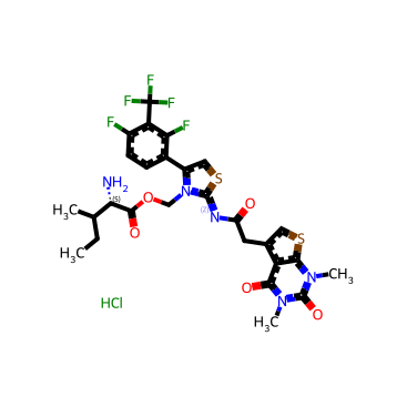 CCC(C)[C@H](N)C(=O)OCn1c(-c2ccc(F)c(C(F)(F)F)c2F)cs/c1=N\C(=O)Cc1csc2c1c(=O)n(C)c(=O)n2C.Cl